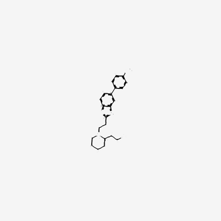 N#Cc1ccc(-c2ccc3oc(CCN4CCCCC4CCO)nc3c2)cc1